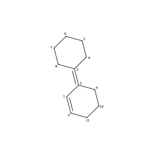 C1=CC(=C2CCCCC2)CCC1